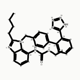 CCCCc1nc2cccc(NC(=O)OCC)c2n1Cc1ccc(-c2ccccc2-c2nnn[nH]2)cc1